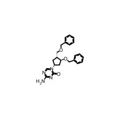 Nc1ncn([C@@H]2C[C@H](COCc3ccccc3)[C@@H](OCc3ccccc3)C2)c(=O)n1